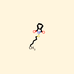 CCCCCCSN1C(=O)c2ccccc2C1=O